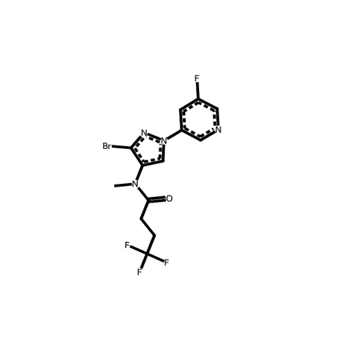 CN(C(=O)CCC(F)(F)F)c1cn(-c2cncc(F)c2)nc1Br